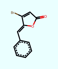 O=C1C=C(Br)C(=Cc2ccccc2)O1